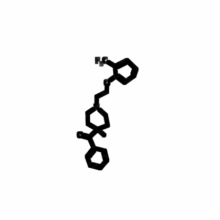 CC1(C(=O)c2ccccc2)CCN(CCOc2ccccc2C(F)(F)F)CC1